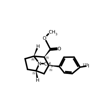 COC(=O)[C@H]1[C@@H](c2ccc([125I])cc2)C[C@@H]2CC[C@H]1N2C